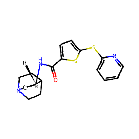 O=C(N[C@H]1CN2CCC1CC2)c1ccc(Sc2ccccn2)s1